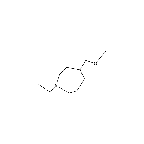 CCN1CCCC(COC)CC1